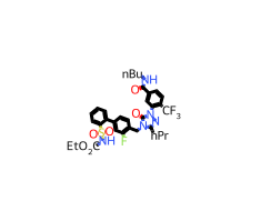 CCCCNC(=O)c1ccc(C(F)(F)F)c(-n2nc(CCC)n(Cc3ccc(-c4ccccc4S(=O)(=O)NC(=O)OCC)cc3F)c2=O)c1